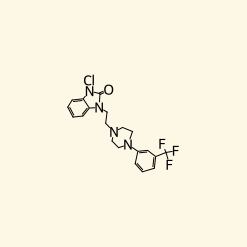 O=c1n(Cl)c2ccccc2n1CCN1CCN(c2cccc(C(F)(F)F)c2)CC1